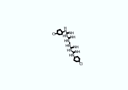 N=C(NCNC(=N)NC(=N)Nc1ccc(Cl)cc1)NC(=N)Nc1ccc(Cl)cc1